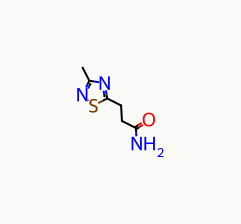 Cc1nsc(CCC(N)=O)n1